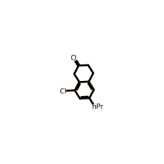 CCCc1cc(Cl)c2c(c1)CCC(=O)C2